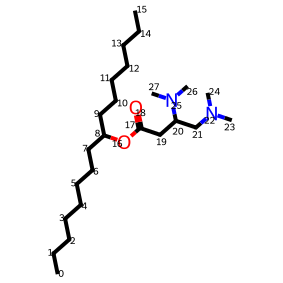 CCCCCCCCC(CCCCCCC)OC(=O)CC(CN(C)C)N(C)C